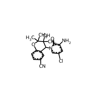 CC1(C)Oc2ccc(C#N)cc2C(n2cc(Cl)cc(N)c2=O)C1(C)O